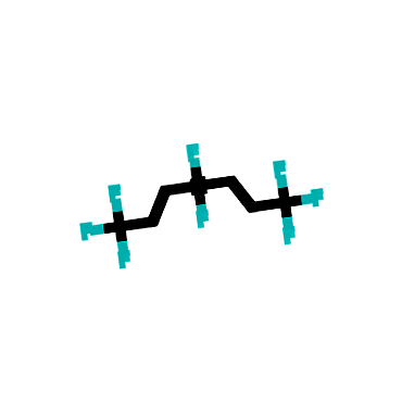 FC(F)(F)CC[Si](F)(F)CCC(F)(F)F